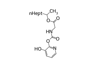 CCCCCCCC(C)OC(=O)CNC(=O)Oc1ncccc1O